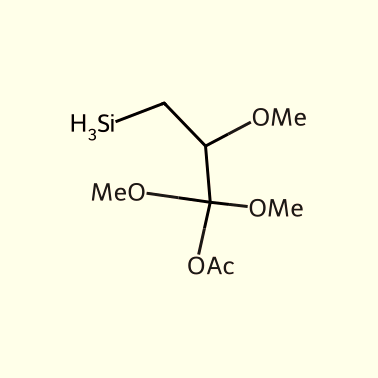 COC(C[SiH3])C(OC)(OC)OC(C)=O